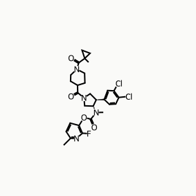 Cc1ccc(OC(=O)N(C)[C@@H]2CN(C(=O)C3CCN(C(=O)C4(C)CC4)CC3)C[C@H]2c2ccc(Cl)c(Cl)c2)c(F)n1